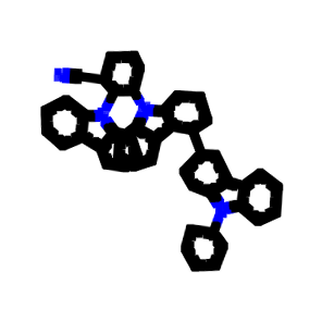 N#Cc1cccc(-n2c3ccccc3c3c(-c4ccc5c(c4)c4ccccc4n5-c4ccccc4)cccc32)c1-n1c2ccccc2c2ccccc21